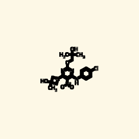 CC(C)(O)COc1nc(Nc2ccc(Cl)cc2)c([N+](=O)[O-])c(N2CC(C)(O)C2)n1